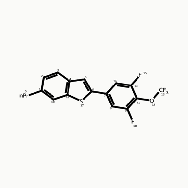 CCCc1ccc2cc(-c3cc(F)c(OC(F)(F)F)c(F)c3)sc2c1